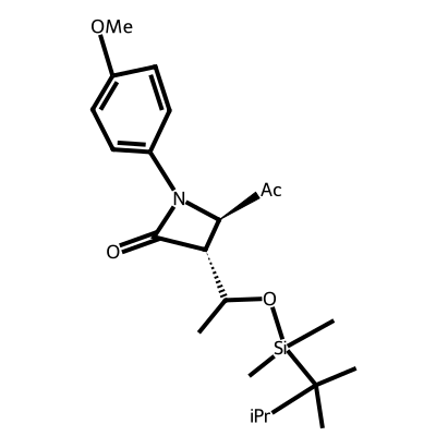 COc1ccc(N2C(=O)[C@@H](C(C)O[Si](C)(C)C(C)(C)C(C)C)[C@@H]2C(C)=O)cc1